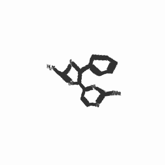 CSc1nccc(-c2nc(N)sc2-c2ccccc2)n1